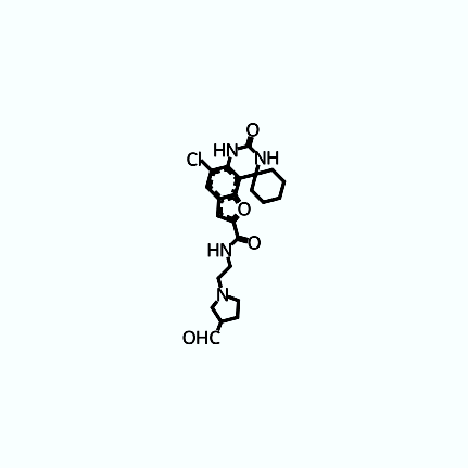 O=CC1CCN(CCNC(=O)c2cc3cc(Cl)c4c(c3o2)C2(CCCCC2)NC(=O)N4)C1